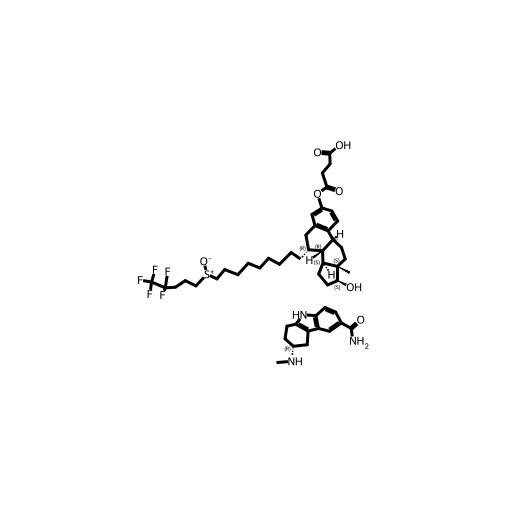 CN[C@@H]1CCc2[nH]c3ccc(C(N)=O)cc3c2C1.C[C@]12CC[C@@H]3c4ccc(OC(=O)CCC(=O)O)cc4C[C@@H](CCCCCCCCC[S+]([O-])CCCC(F)(F)C(F)(F)F)[C@H]3[C@@H]1CC[C@@H]2O